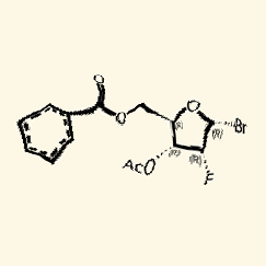 CC(=O)O[C@H]1[C@@H](F)[C@@H](Br)O[C@@H]1COC(=O)c1ccccc1